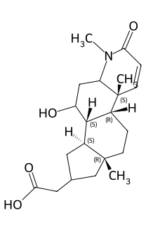 CN1C(=O)C=C[C@@]2(C)C1CC(O)[C@@H]1[C@H]2CC[C@]2(C)CC(CC(=O)O)C[C@@H]12